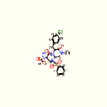 CC(C)N1CC2N(C(=O)C(NS(C)(=O)=O)CN2S(=O)(=O)c2ccccc2)C(Cc2ccc(Cl)cc2)C1=O